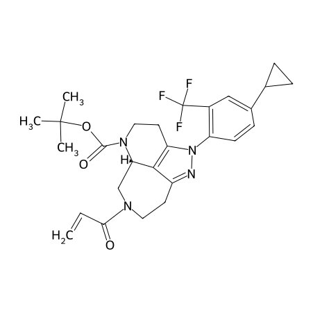 C=CC(=O)N1CCc2nn(-c3ccc(C4CC4)cc3C(F)(F)F)c3c2[C@H](C1)N(C(=O)OC(C)(C)C)CC3